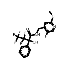 COc1cc(CNC(=O)C(O)(c2ccccc2)C(F)(F)C(F)(F)F)c(F)cn1